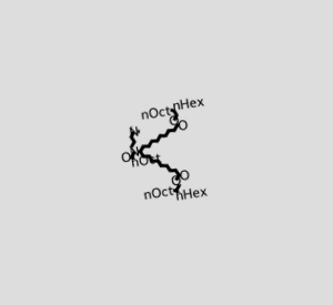 CCCCCCCCC(=O)N(CCCN(C)C)C(CCCCCCCCC(=O)OCC(CCCCCC)CCCCCCCC)CCCCCCCCC(=O)OCC(CCCCCC)CCCCCCCC